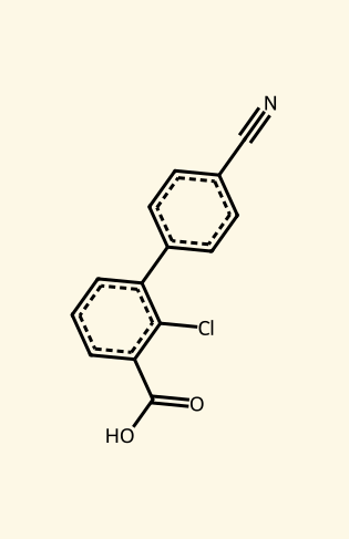 N#Cc1ccc(-c2cccc(C(=O)O)c2Cl)cc1